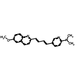 COc1ccc2nc(/C=C/C=C/c3ccc(N(C)C)nc3)ccc2c1